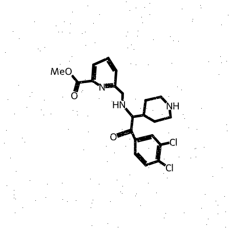 COC(=O)c1cccc(CNC(C(=O)c2ccc(Cl)c(Cl)c2)C2CCNCC2)n1